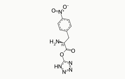 N[C@@H](Cc1ccc([N+](=O)[O-])cc1)C(=O)Oc1nnn[nH]1